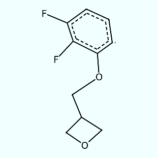 Fc1cc[c]c(OCC2COC2)c1F